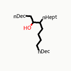 CCCCCCCCCCCCCCC(CCCCCCC)C(O)CCCCCCCCCCC